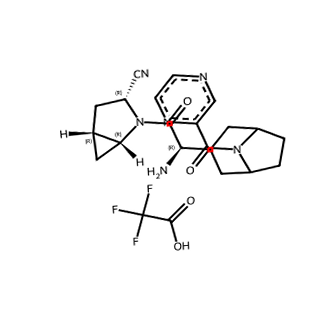 N#C[C@H]1C[C@H]2C[C@H]2N1C(=O)[C@H](N)C1CC2CCC(C1)N2C(=O)c1cnccn1.O=C(O)C(F)(F)F